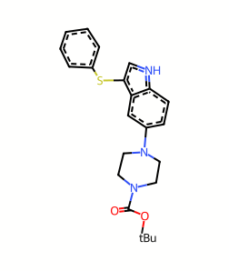 CC(C)(C)OC(=O)N1CCN(c2ccc3[nH]cc(Sc4ccccc4)c3c2)CC1